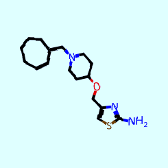 Nc1nc(COC2CCN(CC3CCCCCC3)CC2)cs1